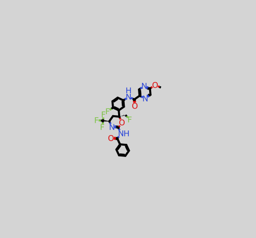 COc1cnc(C(=O)Nc2ccc(F)c([C@]3(CF)C[C@H](C(F)(F)F)N=C(NC(=O)c4ccccc4)O3)c2)cn1